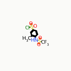 Cc1cc(S(=O)(=O)Cl)ccc1NS(=O)(=O)C(F)(F)F